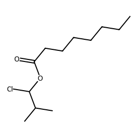 CCCCCCCC(=O)OC(Cl)C(C)C